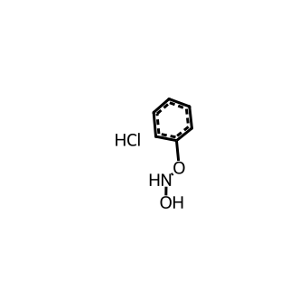 Cl.ONOc1ccccc1